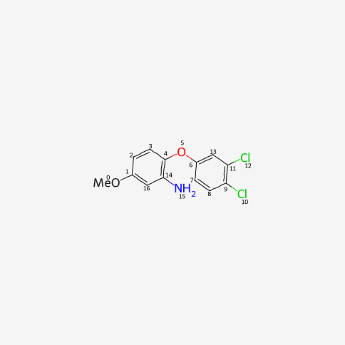 COc1ccc(Oc2ccc(Cl)c(Cl)c2)c(N)c1